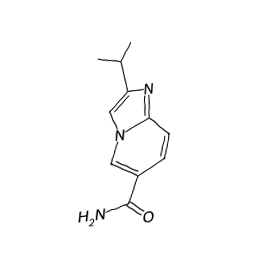 CC(C)c1cn2cc(C(N)=O)ccc2n1